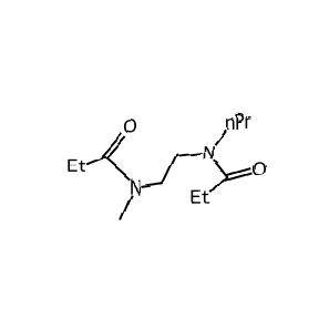 CCCN(CCN(C)C(=O)CC)C(=O)CC